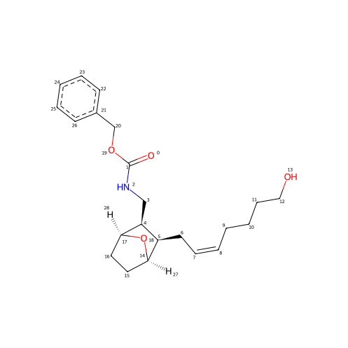 O=C(NC[C@H]1[C@@H](C/C=C\CCCCO)[C@H]2CC[C@@H]1O2)OCc1ccccc1